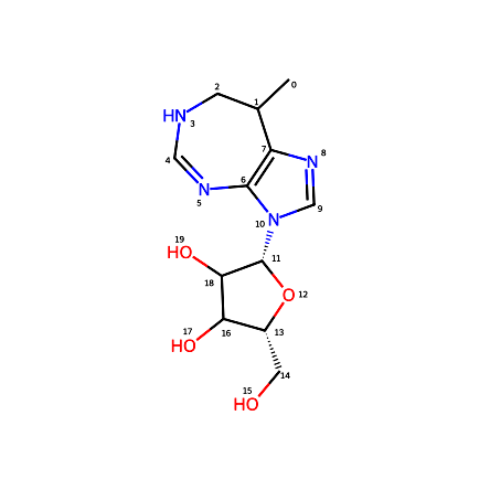 CC1CNC=Nc2c1ncn2[C@@H]1O[C@H](CO)C(O)C1O